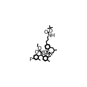 CCOC(=O)CC(c1ccc(C)c(CN2CC(C)Cc3cc(CCCNC(=O)OC(C)(C)C)ccc3S2(O)O)c1)c1ccc(F)cc1C